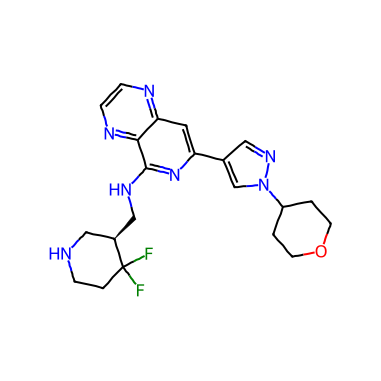 FC1(F)CCNC[C@H]1CNc1nc(-c2cnn(C3CCOCC3)c2)cc2nccnc12